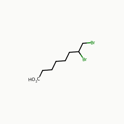 O=C(O)CCCCCC(Br)CBr